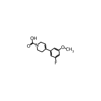 COc1cc(F)cc(C2=CCN(C(=O)O)CC2)c1